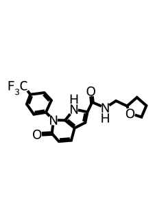 O=C(NCC1CCCO1)c1cc2ccc(=O)n(-c3ccc(C(F)(F)F)cc3)c2[nH]1